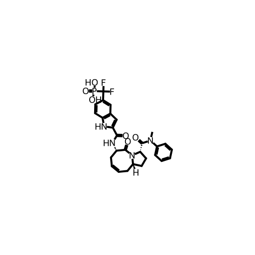 CN(C(=O)[C@@H]1CC[C@@H]2CC=CC[C@H](NC(=O)c3cc4cc(C(F)(F)P(=O)(O)O)ccc4[nH]3)C(=O)N21)c1ccccc1